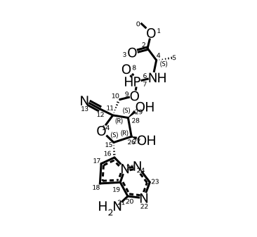 COC(=O)[C@H](C)N[PH](=O)OC[C@@]1(C#N)O[C@@H](c2ccc3c(N)ncnn23)[C@H](O)[C@@H]1O